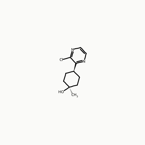 C[C@]1(O)CC[C@@H](c2nccnc2Cl)CC1